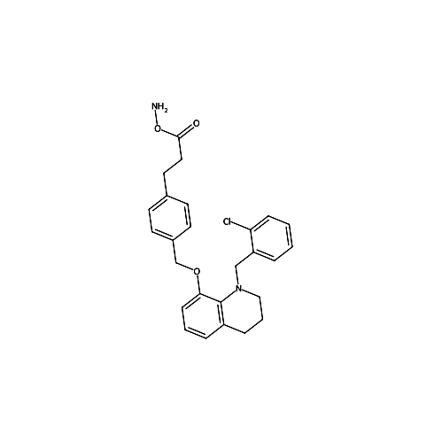 NOC(=O)CCc1ccc(COc2cccc3c2N(Cc2ccccc2Cl)CCC3)cc1